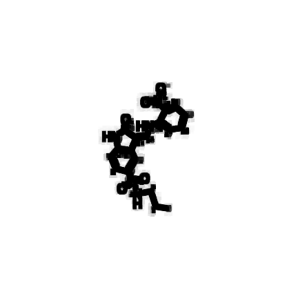 CCCNS(=O)(=O)c1ccc2c(c1)C(=CNc1ccccc1[N+](=O)[O-])C(=O)N2